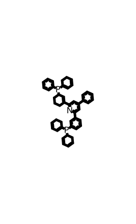 C1=CCCC(P(c2cccc(-c3cc(-c4ccccc4)cc(C4=CC(P(C5=CC=CCC5)c5ccccc5)CCC4)n3)c2)C2C=CC=CC2)=C1